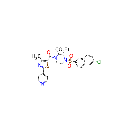 CCOC(=O)C1CN(S(=O)(=O)c2ccc3cc(Cl)ccc3c2)CCN1C(=O)c1sc(-c2ccncc2)nc1C